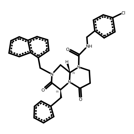 O=C1[C@H](Cc2ccccc2)N2C(=O)CCN(C(=O)NCc3ccc(Cl)cc3)[C@H]2CN1Cc1cccc2ccccc12